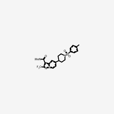 CNC(=O)c1c(C(F)(F)F)nn2ccc(C3CCN(S(=O)(=O)c4ccc(C)cc4)CC3)cc12